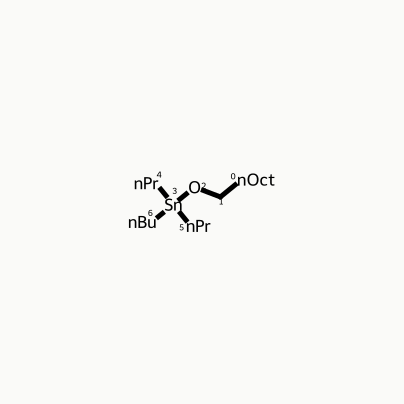 CCCCCCCCC[O][Sn]([CH2]CC)([CH2]CC)[CH2]CCC